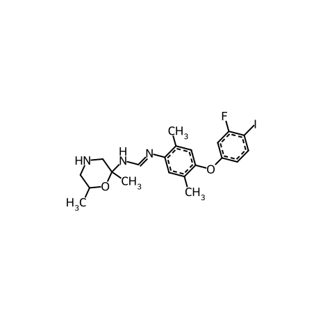 Cc1cc(Oc2ccc(I)c(F)c2)c(C)cc1/N=C/NC1(C)CNCC(C)O1